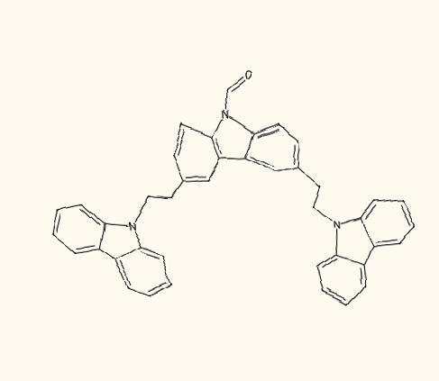 O=Cn1c2ccc(CCn3c4ccccc4c4ccccc43)cc2c2cc(CCn3c4ccccc4c4ccccc43)ccc21